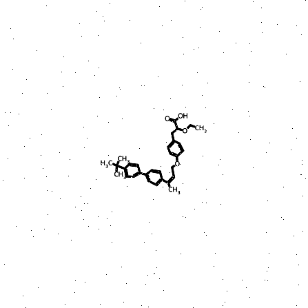 CCOC(Cc1ccc(OC/C=C(/C)c2ccc(-c3ccc(C(C)(C)C)cc3)cc2)cc1)C(=O)O